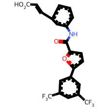 O=C(O)C=Cc1cccc(NC(=O)c2ccc(-c3cc(C(F)(F)F)cc(C(F)(F)F)c3)o2)c1